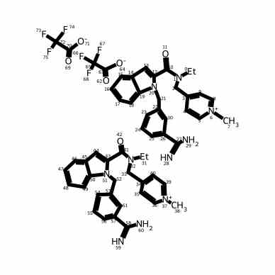 CCN(Cc1cc[n+](C)cc1)C(=O)c1cc2ccccc2n1Cc1cccc(C(=N)N)c1.CCN(Cc1cc[n+](C)cc1)C(=O)c1cc2ccccc2n1Cc1cccc(C(=N)N)c1.O=C([O-])C(F)(F)F.O=C([O-])C(F)(F)F